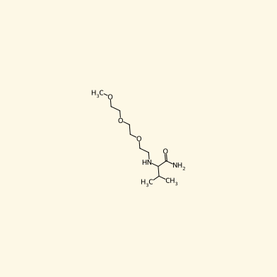 COCCOCCOCCNC(C(N)=O)C(C)C